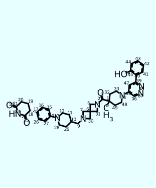 CC1(C(=O)N2CC3(CN(CC4CCN(c5ccc([C@H]6CCC(=O)NC6=O)cc5)CC4)C3)C2)CCN(c2cnnc(-c3ccccc3O)c2)CC1